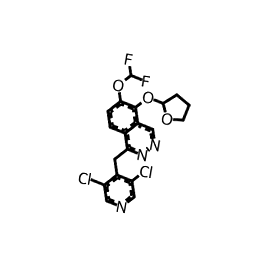 FC(F)Oc1ccc2c(Cc3c(Cl)cncc3Cl)nncc2c1OC1CCCO1